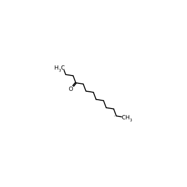 C[CH]CCCCCCCC(=O)CCC